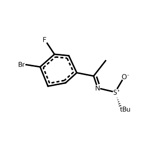 C/C(=N\[S@+]([O-])C(C)(C)C)c1ccc(Br)c(F)c1